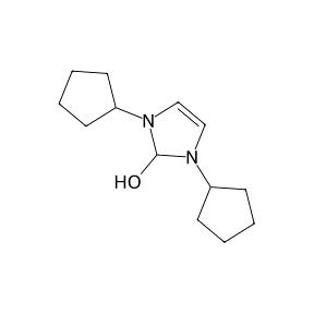 OC1N(C2CCCC2)C=CN1C1CCCC1